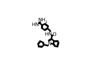 N=C(N)c1ccc(CNC(=O)c2cn(Cc3ccccc3)c3ccccc23)cc1